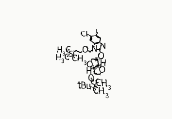 CC(C)(C)[Si](C)(C)OC1CO[C@H]2[C@@H]1OC[C@H]2Oc1nc2cc(I)c(Cl)cc2n1COCC[Si](C)(C)C